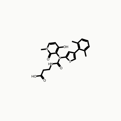 Cc1cccc(C)c1-c1csc(N(C(=O)NCCC(=O)O)c2c(O)ccn(C)c2=O)c1